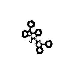 O=c1n(-c2nc(-c3ccccc3)c3ccccc3n2)c2ccccc2c2c(-c3ccccc3)c3ccccc3n12